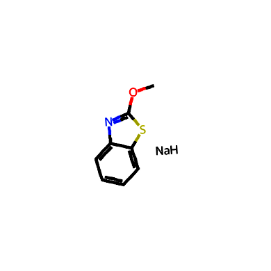 COc1nc2ccccc2s1.[NaH]